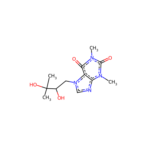 Cn1c(=O)c2c(ncn2CC(O)C(C)(C)O)n(C)c1=O